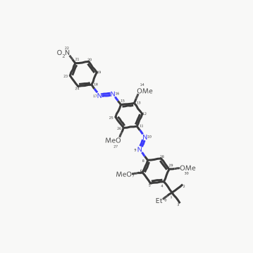 CCC(C)(C)c1cc(OC)c(N=Nc2cc(OC)c(N=Nc3ccc([N+](=O)[O-])cc3)cc2OC)cc1OC